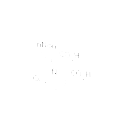 CCCCCCCCCCC(C(=O)O)N1C(=O)CCC1C(=O)O